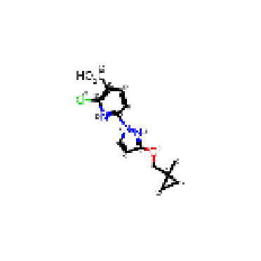 CC1(COc2ccn(-c3ccc(C(=O)O)c(Cl)n3)n2)CC1